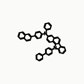 c1ccc(-c2ccc(-n3c4ccccc4c4ccc5cc(N(c6ccccc6)c6ccc(-c7ccc8ccccc8c7)cc6)ccc5c43)cc2)cc1